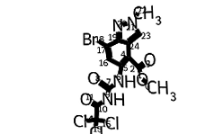 COC(=O)c1c(NC(=O)NC(=O)C(Cl)(Cl)Cl)cc(Br)c2nn(C)cc12